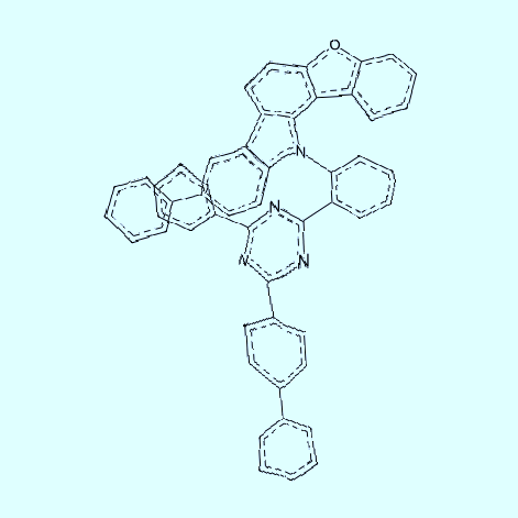 c1ccc(-c2ccc(-c3nc(-c4ccccc4)nc(-c4ccccc4-n4c5ccc(-c6ccccc6)cc5c5ccc6oc7ccccc7c6c54)n3)cc2)cc1